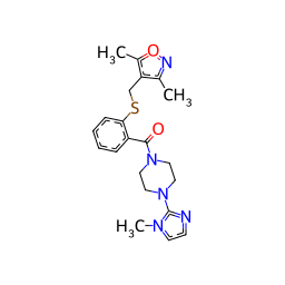 Cc1noc(C)c1CSc1ccccc1C(=O)N1CCN(c2nccn2C)CC1